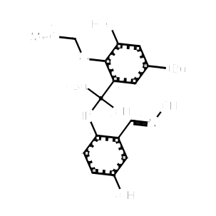 CCCCC(C)(Pc1ccc(C)cc1/C=N/C)c1cc(C(C)(C)C)cc(C)c1OCOC